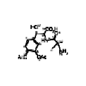 CC(=O)Oc1ccc(C[C@H](NC(=O)C(C)(C)N)C(=O)O)cc1OC(C)=O.Cl